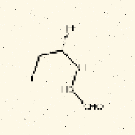 CC[C@@H](CI)NBC=O